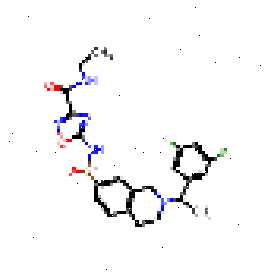 CCNC(=O)c1noc(N[S+]([O-])c2ccc3c(c2)CN(C(C)c2cc(F)cc(F)c2)CC3)n1